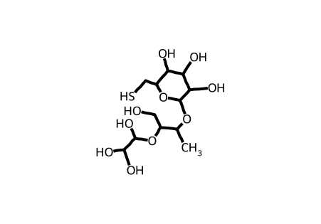 CC(OC1OC(CS)C(O)C(O)C1O)C(CO)OC(O)C(O)O